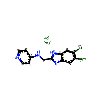 Cl.Cl.Clc1cc2nc(CNc3ccncc3)[nH]c2cc1Cl